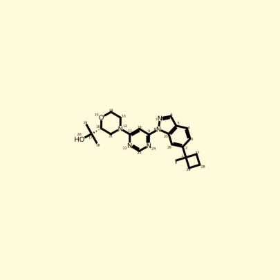 CC1(c2ccc3cnn(-c4cc(N5CCO[C@@H](C(C)(C)O)C5)ncn4)c3c2)CCC1